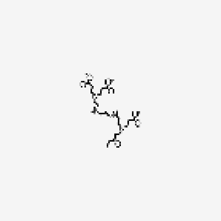 CCC(=O)CCN(CCC(=O)OC)CCN(C)CCCN(C)CCN(CCC(=O)OC)CCC(=O)OC